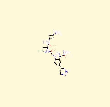 NC(=O)c1nn(CC(=O)N2CC(F)CC2C(O)NC2CC(N)C2)c2ccc(-c3ccnnc3)cc12